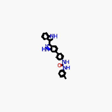 Cc1cccc(NC(=O)Nc2ccc(-c3ccc4c(-c5c[nH]c6ccccc56)n[nH]c4c3)cc2)c1